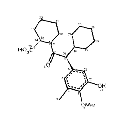 COc1c(C)cc([C@@H](C(=O)N2CCCC[C@H]2C(=O)O)C2CCCCC2)cc1O